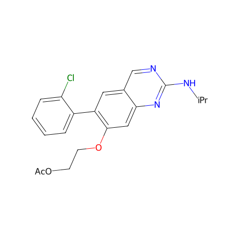 CC(=O)OCCOc1cc2nc(NC(C)C)ncc2cc1-c1ccccc1Cl